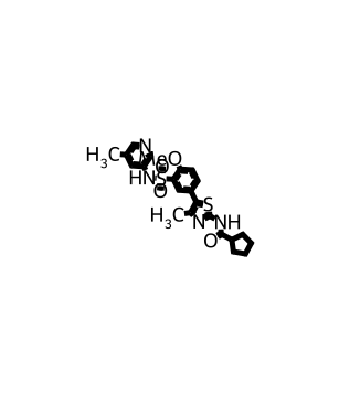 COc1ccc(-c2sc(NC(=O)C3CCCC3)nc2C)cc1S(=O)(=O)Nc1cncc(C)c1